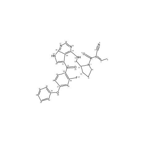 C/C=C(\C#N)C(=O)N1CCCC1CNc1ncnc2[nH]cc(C(=O)c3ccc(Oc4ccccc4)cc3F)c12